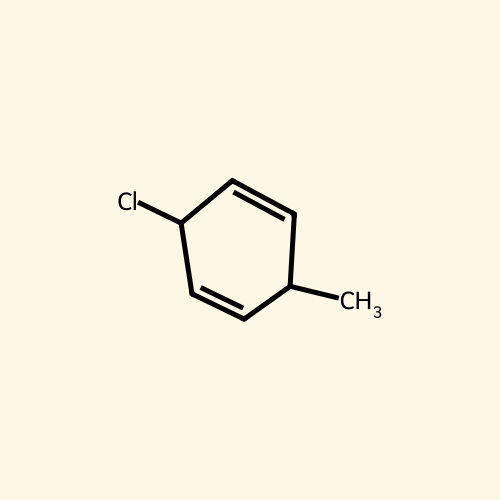 CC1C=CC(Cl)C=C1